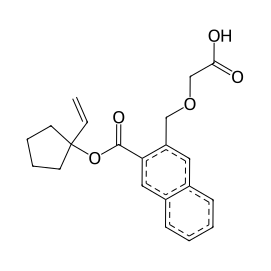 C=CC1(OC(=O)c2cc3ccccc3cc2COCC(=O)O)CCCC1